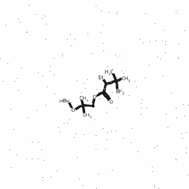 BC(C)(C)C(CC)C(=O)OCC(C)(C)OCCCC